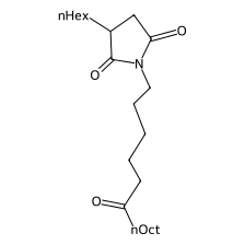 CCCCCCCCC(=O)CCCCCN1C(=O)CC(CCCCCC)C1=O